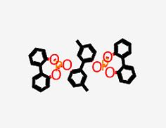 Cc1ccc(Op2oc3ccccc3c3ccccc3o2)c(-c2cc(C)ccc2Op2oc3ccccc3c3ccccc3o2)c1